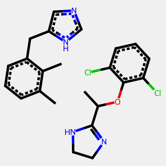 CC(Oc1c(Cl)cccc1Cl)C1=NCCN1.Cc1cccc(Cc2cnc[nH]2)c1C